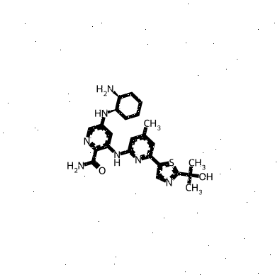 Cc1cc(Nc2cc(N[C@@H]3CCCC[C@@H]3N)cnc2C(N)=O)nc(-c2cnc(C(C)(C)O)s2)c1